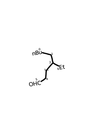 CCCCCC([CH]CC=O)CC